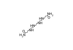 NC(=O)CCNCCNCCNCCNCCC(N)=O